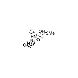 CSCCC(O)C(O)C(Cc1ccccc1)NC(=O)c1coc(N(C)S(C)(=O)=O)n1